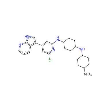 CC(=O)NC1CCC(NC2CCC(Nc3cc(-c4c[nH]c5ncccc45)cc(Cl)n3)CC2)CC1